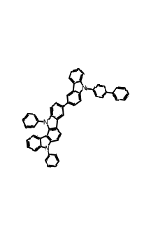 c1ccc(-c2ccc(-n3c4ccccc4c4cc(-c5ccc6c(c5)c5ccc7c(c8ccccc8n7-c7ccccc7)c5n6-c5ccccc5)ccc43)cc2)cc1